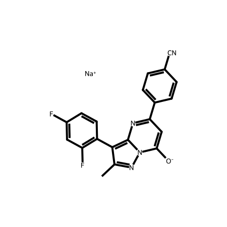 Cc1nn2c([O-])cc(-c3ccc(C#N)cc3)nc2c1-c1ccc(F)cc1F.[Na+]